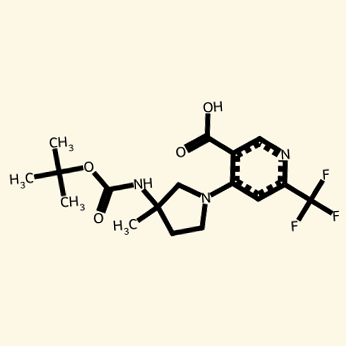 CC1(NC(=O)OC(C)(C)C)CCN(c2cc(C(F)(F)F)ncc2C(=O)O)C1